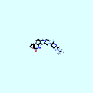 [2H]C([2H])([2H])NC(=O)c1ccc(N2CCN(Cc3ccc4c([nH]c(=O)c5occc54)c3F)CC2)c(F)n1